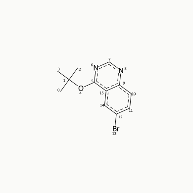 CC(C)(C)Oc1ncnc2ccc(Br)cc12